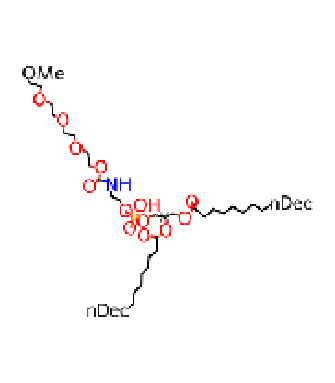 CCCCCCCCCCCCCCCCCC(=O)OC[C@H](COP(=O)(O)OCCNC(=O)OCCOCCOCCOCCOC)OC(=O)CCCCCCCCCCCCCCCCC